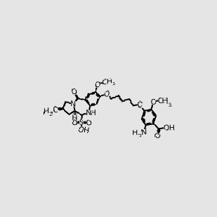 C=C1C[C@H]2C(S(=O)(=O)O)Nc3cc(OCCCCCOc4cc(N)c(C(=O)O)cc4OC)c(OC)cc3C(=O)N2C1